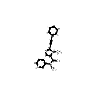 CN(C(=O)c1cnc(C#Cc2ccccc2)n1C)c1cccnc1